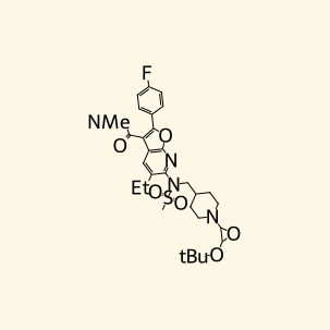 CCc1cc2c(C(=O)NC)c(-c3ccc(F)cc3)oc2nc1N(CC1CCN(C2OC2OC(C)(C)C)CC1)S(C)(=O)=O